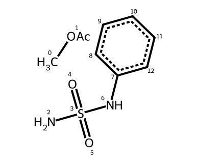 COC(C)=O.NS(=O)(=O)Nc1ccccc1